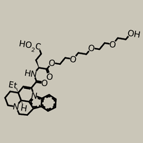 CC[C@@]12C=C(C(=O)N[C@@H](CCC(=O)O)C(=O)OCCOCCOCCOCCO)n3c4c(c5ccccc53)CCN(CCC1)[C@H]42